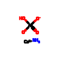 N.O=[As]([O-])([O-])O.[Ca+2]